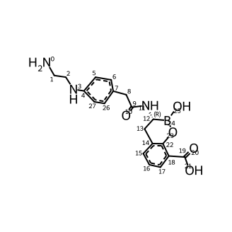 NCCNc1ccc(CC(=O)N[C@H]2Cc3cccc(C(=O)O)c3OB2O)cc1